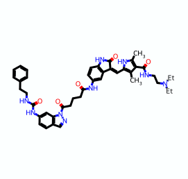 CCN(CC)CCNC(=O)c1c(C)[nH]c(/C=C2\C(=O)Nc3ccc(NC(=O)CCCC(=O)n4ncc5ccc(NC(=O)NCCc6ccccc6)cc54)cc32)c1C